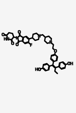 CCC(=C(c1ccc(O)cc1)c1ccc(OCCN2CCC(CN3CCC(c4cc5c(cc4F)C(=O)N(C4CCC(=O)NC4=O)C5=O)CC3)CC2)cc1)c1ccc(O)cc1